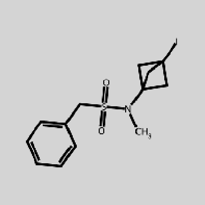 CN(C12CC(I)(C1)C2)S(=O)(=O)Cc1ccccc1